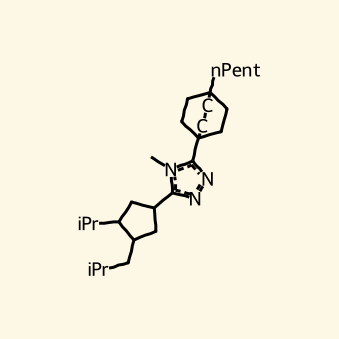 CCCCCC12CCC(c3nnc(C4CC(CC(C)C)C(C(C)C)C4)n3C)(CC1)CC2